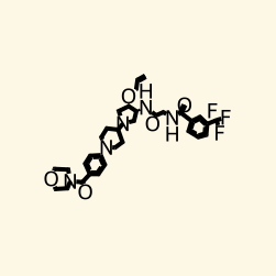 C=CCO[C@H]1CN(C2CCN(c3ccc(C(=O)N4CCOCC4)cc3)CC2)C[C@@H]1NC(=O)CNC(=O)c1cccc(C(F)(F)F)c1